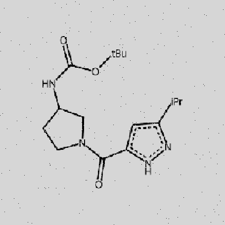 CC(C)c1cc(C(=O)N2CCC(NC(=O)OC(C)(C)C)C2)[nH]n1